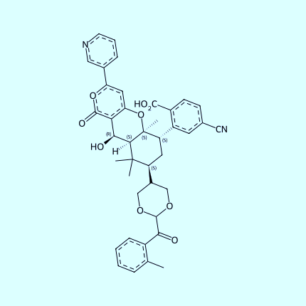 Cc1ccccc1C(=O)C1OCC([C@@H]2C[C@@H](c3cc(C#N)ccc3C(=O)O)[C@]3(C)Oc4cc(-c5cccnc5)oc(=O)c4[C@H](O)[C@@H]3C2(C)C)CO1